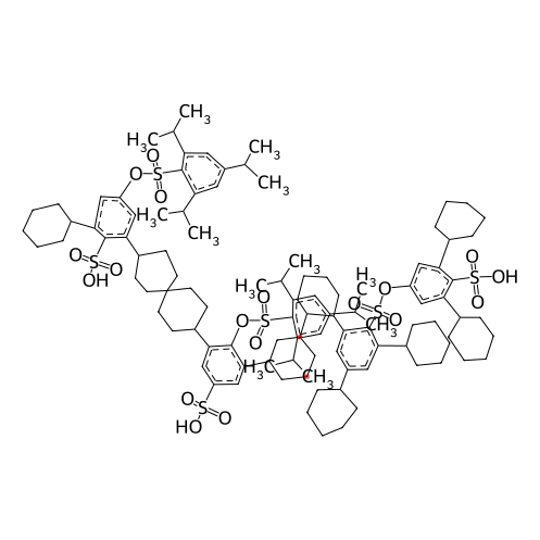 CC(C)c1cc(C(C)C)c(S(=O)(=O)Oc2cc(C3CCCCC3)c(S(=O)(=O)O)c(C3CCC4(CCC(c5cc(S(=O)(=O)O)cc(C6CCCC(C7CCCCC7c7cc(C8CCCCC8)cc(C8CCCCC8)c7S(=O)(=O)Oc7cc(C8CCCCC8)c(S(=O)(=O)O)c(C8CCCCC8)c7)C6)c5OS(=O)(=O)c5c(C(C)C)cc(C(C)C)cc5C(C)C)CC4)CC3)c2)c(C(C)C)c1